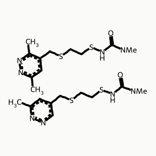 CNC(=O)NSCCSCc1cc(C)nnc1C.CNC(=O)NSCCSCc1cnnc(C)c1